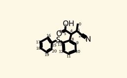 CC(C#N)C(C(=O)O)c1ccccc1Sc1ccccc1